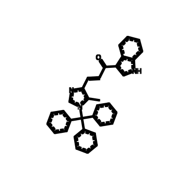 Cc1c(C=CC(=O)c2c[nH]c3ccccc23)ncn1C(c1ccccc1)(c1ccccc1)c1ccccc1